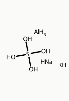 O[Si](O)(O)O.[AlH3].[KH].[NaH]